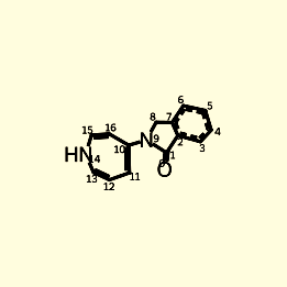 O=C1c2ccccc2CN1C1=CC=CNC=C1